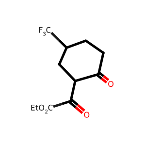 CCOC(=O)C(=O)C1CC(C(F)(F)F)CCC1=O